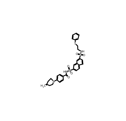 C=C1CCN(c2ccc(C(=O)NS(=O)(=O)c3ccc4ccc(S(=O)(=O)NCCSc5ccccc5)cc4c3)cc2)CC1